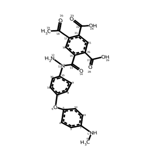 CNc1ccc(Oc2ccc(N(N)C(=O)c3cc(C(C)=O)c(C(=O)O)cc3C(=O)O)cc2)cc1